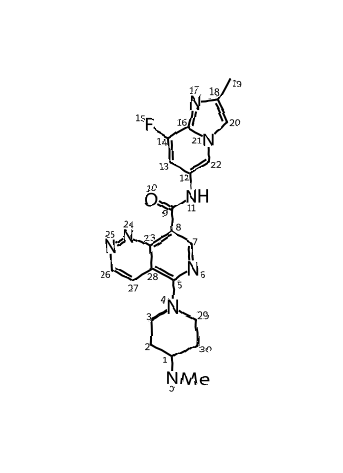 CNC1CCN(c2ncc(C(=O)Nc3cc(F)c4nc(C)cn4c3)c3nnccc23)CC1